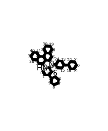 C1=Cc2c(sc3ccccc23)C(N(c2ccc(-c3ccccc3)cc2)c2cc3ccccc3c3c2ccc2ccccc23)N1